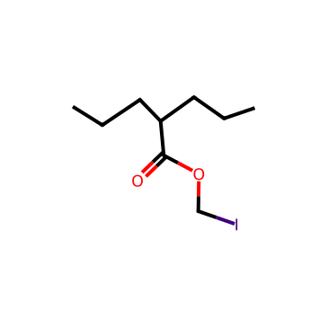 CCCC(CCC)C(=O)OCI